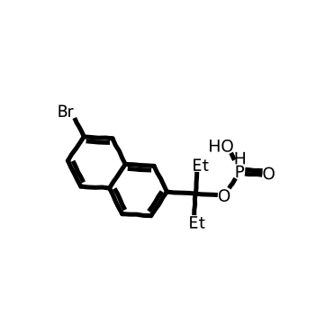 CCC(CC)(O[PH](=O)O)c1ccc2ccc(Br)cc2c1